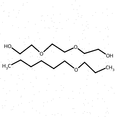 CCCCCCOCCC.OCCOCCOCCO